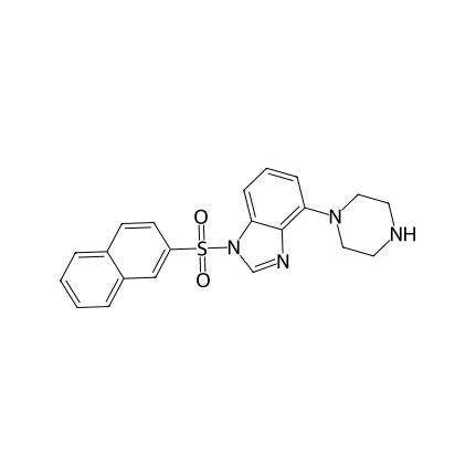 O=S(=O)(c1ccc2ccccc2c1)n1cnc2c(N3CCNCC3)cccc21